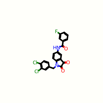 O=C(Nc1ccc2c(c1)C(=O)C(=O)N2Cc1ccc(Cl)c(Cl)c1)c1cccc(F)c1